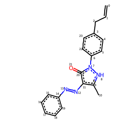 C=CCc1ccc(-n2[nH]c(C)c(N=Nc3ccccc3)c2=O)cc1